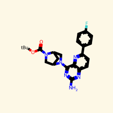 CC(C)(C)OC(=O)N1CC2CC1CN2c1nc(N)nc2ccc(-c3ccc(F)cc3)nc12